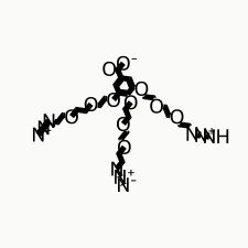 [N-]=[N+]=NCCOCCOCCOc1cc(C(=O)[O-])cc(OCCOCCOCCN=[N+]=N)c1OCCOCCOCCN=[N+]=[N-]